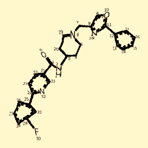 O=C(NC1CCN(Cc2coc(-c3ccccc3)n2)CC1)c1ccc(-c2cccc(F)c2)nc1